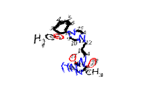 COc1ccccc1N1CCN(CCCn2c(=O)[nH]nc(C)c2=O)CC1